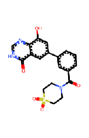 O=C(c1cccc(-c2cc(O)c3nc[nH]c(=O)c3c2)c1)N1CCS(=O)(=O)CC1